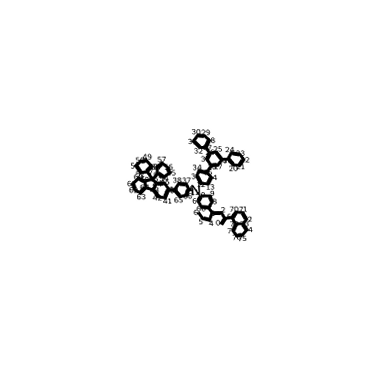 C=C(/C=C(\C=C/C)c1ccc(N(c2ccc(-c3cc(-c4ccccc4)cc(-c4ccccc4)c3)cc2)c2ccc(-c3ccc4c(c3)C(c3ccccc3)(c3ccccc3)c3ccccc3-4)cc2)cc1)c1cccc2ccccc12